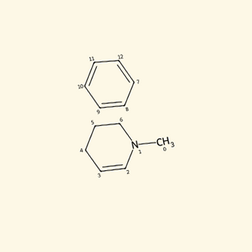 CN1C=CCCC1.c1ccccc1